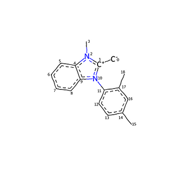 [CH2-][c+]1n(C)c2ccccc2n1-c1ccc(C)cc1C